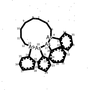 c1ccc([As]2CCCCCCCC[As](c3ccccc3)[As](c3ccccc3)[As]2c2ccccc2)cc1